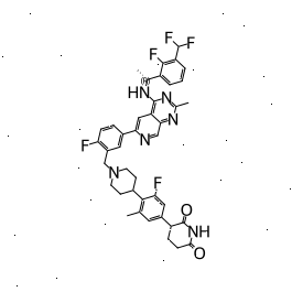 Cc1nc(N[C@H](C)c2cccc(C(F)F)c2F)c2cc(-c3ccc(F)c(CN4CCC(c5c(C)cc(C6CCC(=O)NC6=O)cc5F)CC4)c3)ncc2n1